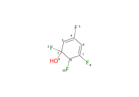 OC1(F)C=C(F)C=C(F)C1F